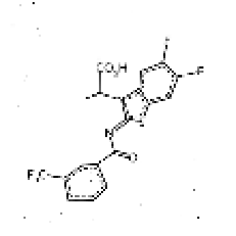 CC(C(=O)O)n1c(=NC(=O)c2cccc(C(F)(F)F)c2)sc2cc(F)c(F)cc21